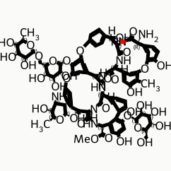 COC(=O)[C@H]1NC(=O)[C@H]2NC(=O)[C@H](NC(=O)[C@@H]3NC(=O)[C@H]4NC(=O)[C@H](NC(=O)[C@H](N)c5ccc(O)c(c5)Oc5cc4cc(O)c5C)[C@H](O)c4ccc(cc4)Oc4cc3cc(c4O[C@@H]3O[C@H](CO[C@@H]4O[C@@H](C)[C@H](O)[C@@H](O)[C@H]4O)[C@@H](O)[C@H](O)[C@H]3O)Oc3ccc(cc3)[C@H]2O[C@H]2C[C@@H](N)[C@@H](O)[C@H](C)O2)c2ccc(O)c(c2)-c2c(O[C@@H]3O[C@H](CO)[C@@H](O)[C@H](O)[C@@H]3O)cc(O)cc21